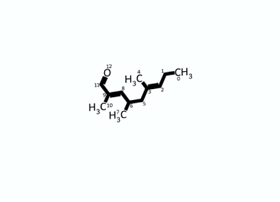 CC/C=C(\C)CC(C)/C=C(\C)C=O